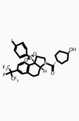 O=C([C@H]1CC[C@H](O)CC1)N1CC[C@@]2(S(=O)(=O)c3ccc(I)cc3)c3ccc(C(F)(C(F)(F)F)C(F)(F)F)cc3CC[C@@H]12